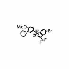 COc1ccc(S(=O)(=O)n2cc(C(F)F)c3cc(Br)ccc32)cc1N1CCCCC1